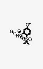 COc1ccc(S(=O)(=O)N(C)C)c(S(=O)(=O)N=C=O)c1